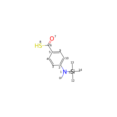 CN(c1ccc(C(=O)S)cc1)[Si](C)(C)C